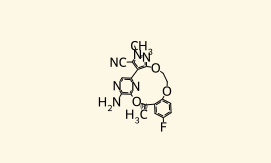 C[C@H]1Oc2nc(cnc2N)-c2c(nn(C)c2C#N)OCCOc2ccc(F)cc21